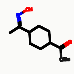 COC(=O)C1CCC(/C(C)=N\O)CC1